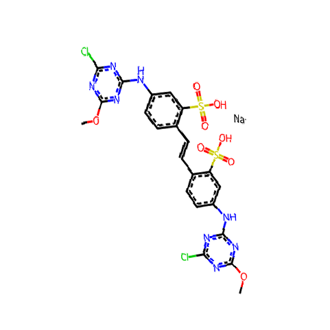 COc1nc(Cl)nc(Nc2ccc(C=Cc3ccc(Nc4nc(Cl)nc(OC)n4)cc3S(=O)(=O)O)c(S(=O)(=O)O)c2)n1.[Na]